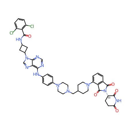 O=C1CC[C@H](N2C(=O)c3cccc(N4CCC(CN5CCN(c6ccc(Nc7ncnc8c7ncn8C7CC(NC(=O)c8c(Cl)cccc8Cl)C7)cc6)CC5)CC4)c3C2=O)C(=O)N1